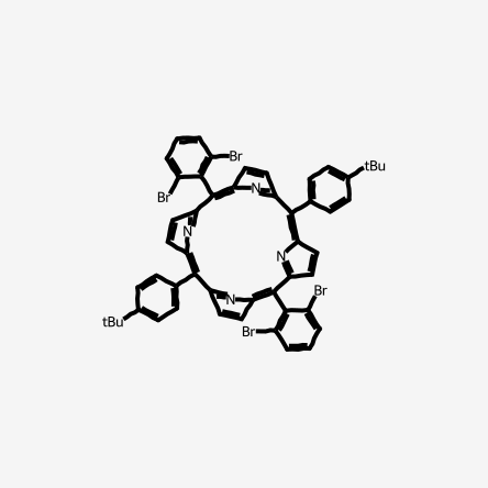 CC(C)(C)c1ccc(C2=C3C=CC(=N3)C(c3c(Br)cccc3Br)=C3C=CC(=N3)C(c3ccc(C(C)(C)C)cc3)=C3C=CC(=N3)C(c3c(Br)cccc3Br)=C3C=CC2=N3)cc1